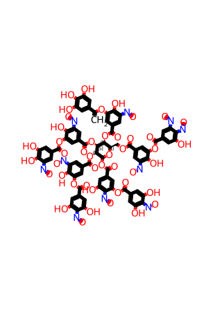 C=C(Oc1cc(C(=O)O[C@H]2[C@H](OC(=O)c3cc(N=O)c(O)c(OC(=O)c4cc(O)c(O)c(N=O)c4)c3)[C@@H](OC(=O)c3cc(N=O)c(O)c(OC(=O)c4cc(O)c(N=O)c(O)c4)c3)C(OC(=O)c3cc(O)c(N=O)c(OC(=O)c4cc(O)c(N=O)c(O)c4)c3)O[C@@H]2COC(=O)c2cc(N=O)c(O)c(OC(=O)c3cc(O)c(N=O)c(N=O)c3)c2)cc(N=O)c1O)c1cc(O)c(O)c(O)c1